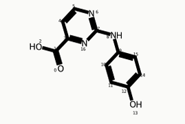 O=C(O)c1ccnc(Nc2ccc(O)cc2)n1